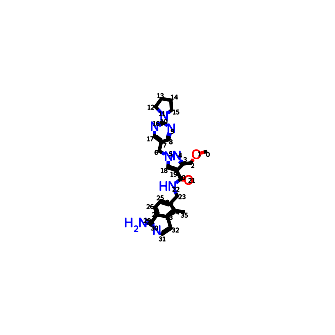 COCc1nn(Cc2cnc(N3CCCC3)nc2)cc1C(=O)NCc1ccc2c(N)nccc2c1C